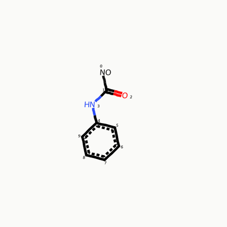 O=NC(=O)Nc1ccccc1